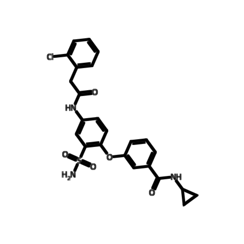 NS(=O)(=O)c1cc(NC(=O)Cc2ccccc2Cl)ccc1Oc1cccc(C(=O)NC2CC2)c1